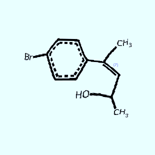 C/C(=C/C(C)O)c1ccc(Br)cc1